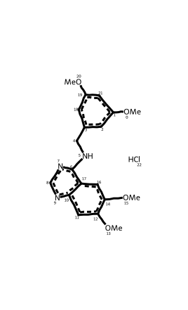 COc1cc(CNc2ncnc3cc(OC)c(OC)cc23)cc(OC)c1.Cl